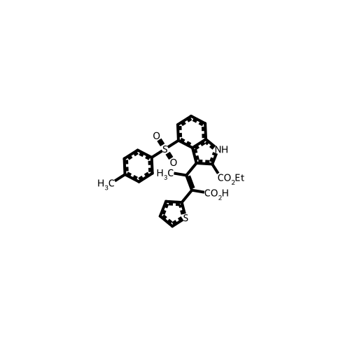 CCOC(=O)c1[nH]c2cccc(S(=O)(=O)c3ccc(C)cc3)c2c1C(C)=C(C(=O)O)c1cccs1